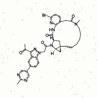 CC(=O)c1nn(CC(=O)N2[C@H]3C[C@@]4(/C=C/CCCCN(C)C(=O)Cc5ccc(Br)nc5NC3=O)C[C@@H]24)c2ccc(-c3cnc(C)nc3)cc12